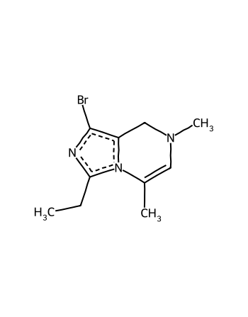 CCc1nc(Br)c2n1C(C)=CN(C)C2